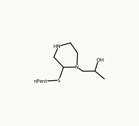 CCCCCSC1CNCCN1CC(C)O